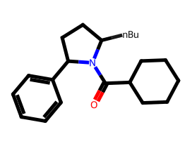 CCCCC1CCC(c2ccccc2)N1C(=O)C1CCCCC1